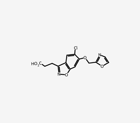 O=C(O)CCc1noc2cc(OCc3ncco3)c(Cl)cc12